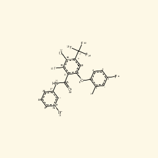 Cc1cc(F)ccc1Oc1cc(C(F)(F)F)c(Cl)c(F)c1C(=O)Nc1ccc[n+]([O-])c1